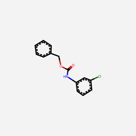 O=C(Nc1cccc(Cl)c1)OCc1ccccc1